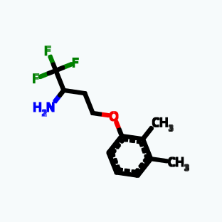 Cc1cccc(OCCC(N)C(F)(F)F)c1C